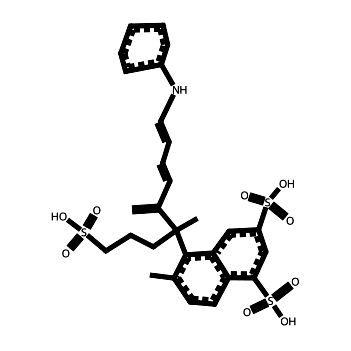 C=C(/C=C/C=C/Nc1ccccc1)C(C)(CCCS(=O)(=O)O)c1c(C)ccc2c(S(=O)(=O)O)cc(S(=O)(=O)O)cc12